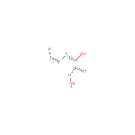 C=C(CO)/C(O)=C\C=C/C